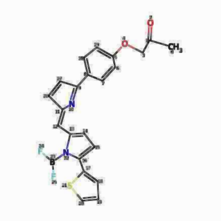 CC(=O)COc1ccc(C2=N/C(=C\c3ccc(-c4cccs4)n3B(F)F)C=C2)cc1